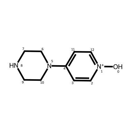 O[n+]1ccc(N2CCNCC2)cc1